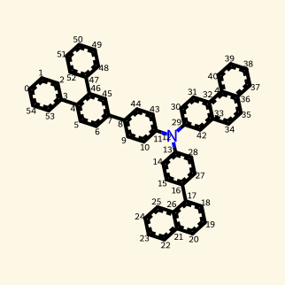 c1ccc(-c2ccc(-c3ccc(N(c4ccc(-c5cccc6ccccc56)cc4)c4ccc5c(ccc6ccccc65)c4)cc3)cc2-c2ccccc2)cc1